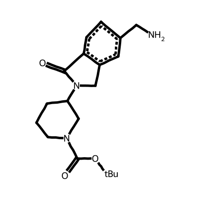 CC(C)(C)OC(=O)N1CCCC(N2Cc3cc(CN)ccc3C2=O)C1